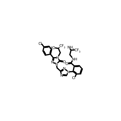 NC(CNC(=O)c1cccc(Cl)c1-n1cnc(Cn2nc(-c3ccc(Cl)cc3)n(C[C@@H](O)C(F)(F)F)c2=O)n1)C(F)(F)F